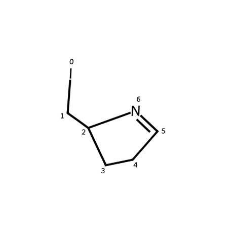 ICC1CCC=N1